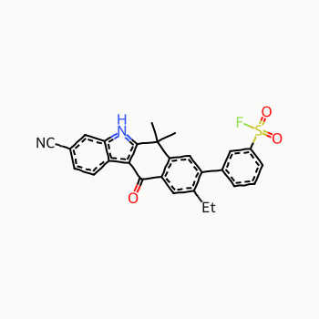 CCc1cc2c(cc1-c1cccc(S(=O)(=O)F)c1)C(C)(C)c1[nH]c3cc(C#N)ccc3c1C2=O